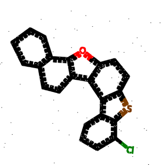 Clc1cccc2c1sc1ccc3oc4c5ccccc5ccc4c3c12